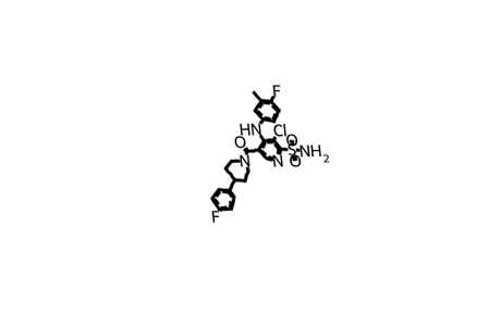 Cc1cc(Nc2c(C(=O)N3CCC(c4ccc(F)cc4)CC3)cnc(S(N)(=O)=O)c2Cl)ccc1F